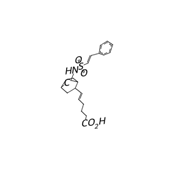 O=C(O)CCC/C=C/C1CC2CCC1C(NS(=O)(=O)/C=C/c1ccccc1)C2